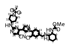 COC(=O)NC1CCCCC1NCc1ccc(-n2cc(-c3nc(NC4CCN(S(C)(=O)=O)CC4)ncc3C#N)cn2)c(Cl)c1